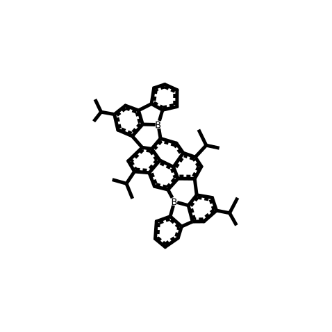 CC(C)c1cc2c3c(c1)-c1cc(C(C)C)c4cc5c6c(cc(C(C)C)c7cc(c1c4c76)B3c1ccccc1-2)-c1cc(C(C)C)cc2c1B5c1ccccc1-2